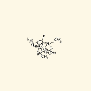 CCCC[C@@H](Nc1nc(Nc2cnc(C)c(C)c2)c(C(N)=O)cc1F)[C@H](C)NC(=O)O